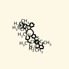 C=C1CC2C(CCc3cc4sc5cc(-c6c(C(C)C)cccc6C(C)C)ccc5c4cc3-c3cc(C(C)C(C)C)cc[n+]31)c1ccccc1-c1cc(C(C)C)c([Si](C)(C)C)c[n+]12